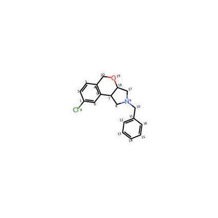 Clc1ccc2c(c1)C1CN(Cc3ccccc3)CC1OC2